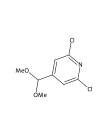 COC(OC)c1cc(Cl)nc(Cl)c1